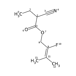 CCC(C#N)C(=O)OCC(F)=C(C)C